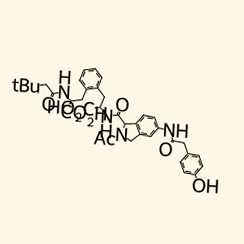 CC(=O)N1Cc2cc(NC(=O)Cc3ccc(O)cc3)ccc2C1C(=O)NC(Cc1ccccc1CC(NC(=O)CC(C)(C)C)C(=O)O)C(=O)O